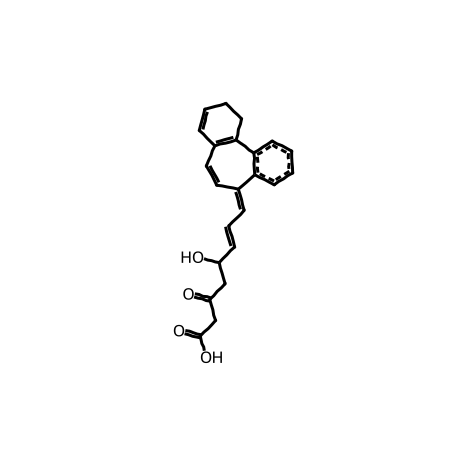 O=C(O)CC(=O)CC(O)C=CC=C1C=CC2=C(CCC=C2)c2ccccc21